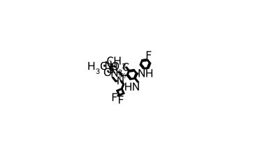 Cc1cc(Nc2ccc(F)cc2)c(C=N)cc1[C@@H]1CN(S(=O)(=O)N(C)C)CCN1CC1CC(F)(F)C1